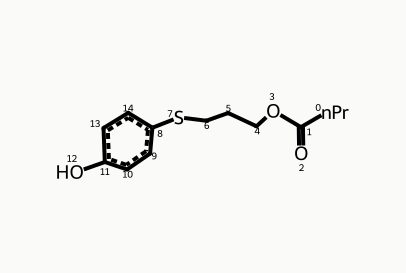 CCCC(=O)OCCCSc1ccc(O)cc1